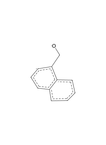 [O]Cc1[c]ccc2ccccc12